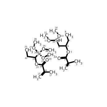 C=C(C)C(=O)OC(CC)C[SiH](OC)OC.C=C(C)C(=O)OC(CC)[Si](OC)(OC)OC